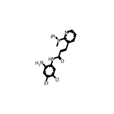 CCc1cc(N)c(NC(=O)/C=C/c2cccnc2N(C)C(C)C)cc1Cl